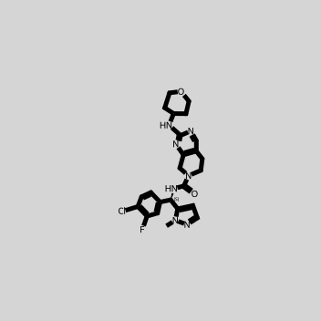 Cn1nccc1[C@@H](NC(=O)N1CCc2cnc(NC3CCOCC3)nc2C1)c1ccc(Cl)c(F)c1